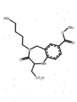 CC(C)(C)OC(=O)c1ccc2c(c1)CN(CCCCO)C(=O)C(CC(=O)O)N2